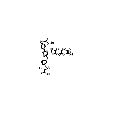 CC.CC1(NC(=O)OC(C)(C)C)C=CN(c2cnc(Sc3cccc(N)c3)cn2)C=C1.O.O=C(O)C(=O)O.O=C(O)C(=O)O.O=C(O)C(=O)O.O=C(O)C(=O)O